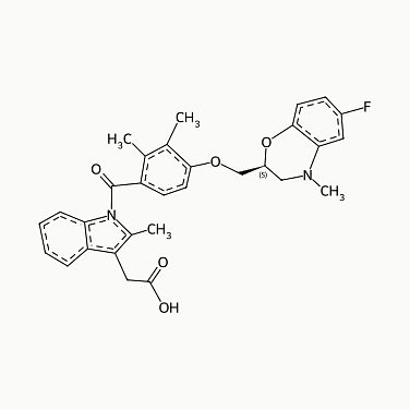 Cc1c(OC[C@@H]2CN(C)c3cc(F)ccc3O2)ccc(C(=O)n2c(C)c(CC(=O)O)c3ccccc32)c1C